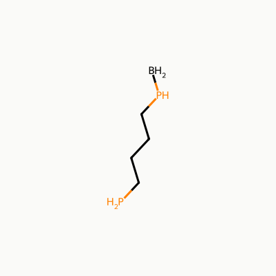 BPCCCCP